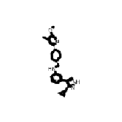 COc1cnc([C@H]2CC[C@H](CNc3cccc(-c4c[nH]nc4C4CC4)c3)CC2)cc1C